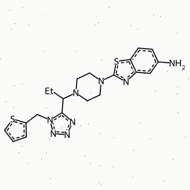 CCC(c1nnnn1Cc1cccs1)N1CCN(c2nc3cc(N)ccc3s2)CC1